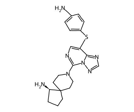 Nc1ccc(Sc2cnc(N3CCC4(CCC[C@H]4N)CC3)n3ncnc23)cc1